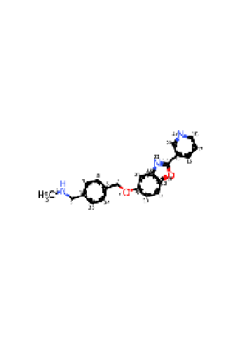 CNCc1ccc(COc2ccc3oc(-c4cccnc4)nc3c2)cc1